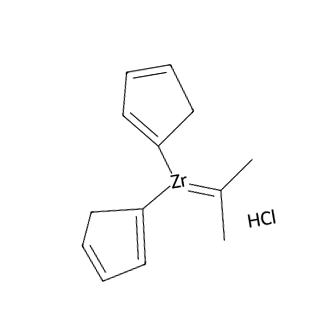 C[C](C)=[Zr]([C]1=CC=CC1)[C]1=CC=CC1.Cl